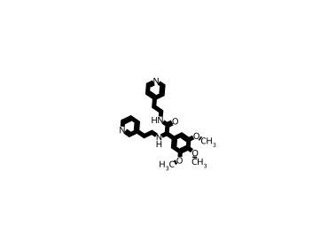 COc1cc(C(NCCc2cccnc2)C(=O)NCCc2ccncc2)cc(OC)c1OC